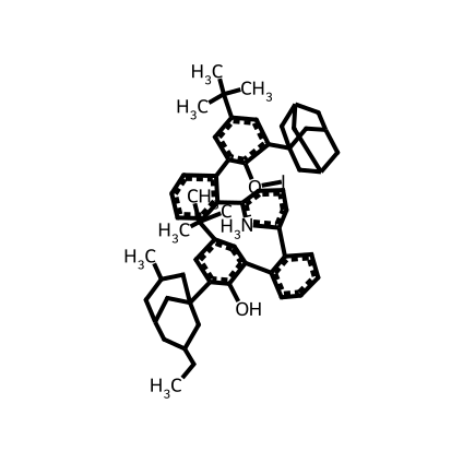 CCC1CC2CC(C)CC(c3cc(C(C)(C)C)cc(-c4ccccc4-c4cccc(-c5ccccc5-c5cc(C(C)(C)C)cc(C67CC8CC(CC(C8)C6)C7)c5OI)n4)c3O)(C1)C2